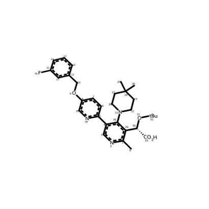 Cc1ncc(-c2ccc(OCc3cccc(F)c3)cn2)c(N2CCC(C)(C)CC2)c1[C@H](OC(C)(C)C)C(=O)O